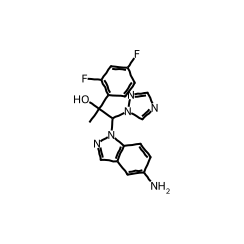 CC(O)(c1ccc(F)cc1F)C(n1cncn1)n1ncc2cc(N)ccc21